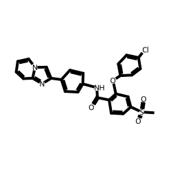 CS(=O)(=O)c1ccc(C(=O)Nc2ccc(-c3cn4ccccc4n3)cc2)c(Oc2ccc(Cl)cc2)c1